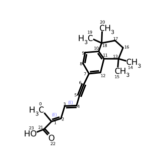 C/C(=C\C=C\C#Cc1ccc2c(c1)C(C)(C)CCC2(C)C)C(=O)O